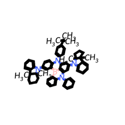 CC(C)(C)c1ccc(N2c3ccc(N4c5ccccc5C5(C)CCCCC45C)cc3B3c4ccccc4N(c4ccccc4)c4cc(N5c6ccccc6C6(C)CCCC56C)cc2c43)cc1